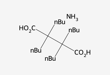 CCCCC(CCCC)(C(=O)O)C(CCCC)(CCCC)C(=O)O.N